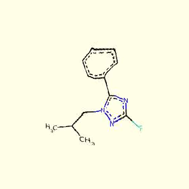 CC(C)Cn1nc(F)nc1-c1ccccc1